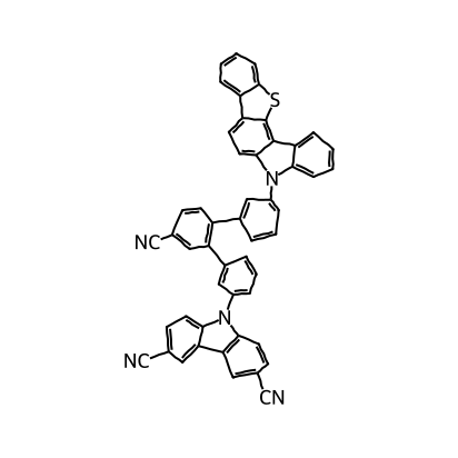 N#Cc1ccc(-c2cccc(-n3c4ccccc4c4c5sc6ccccc6c5ccc43)c2)c(-c2cccc(-n3c4ccc(C#N)cc4c4cc(C#N)ccc43)c2)c1